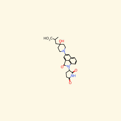 CC(CC1(O)CCN(c2cc3c4c(cccc4c2)N(C2CCC(=O)NC2=O)C3=O)CC1)C(=O)O